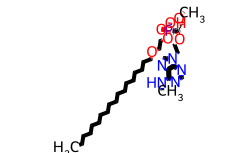 CCCCCCCCCCCCCCCCCCOCCOP(=O)(O)[C@H](COC)OCCn1cnc2c(NC)ncnc21